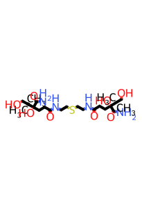 CC(C)(CO)C(O)(CCC(=O)NCCSCCNC(=O)CCC(O)(C(N)=O)C(C)(C)CO)C(N)=O